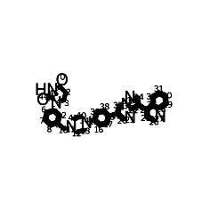 O=C1CCN(c2cccc(CN3CCN(c4ccc(-c5cnc6c(-c7ccnc8ccccc78)cnn6c5)cc4)CC3)c2)C(=O)N1